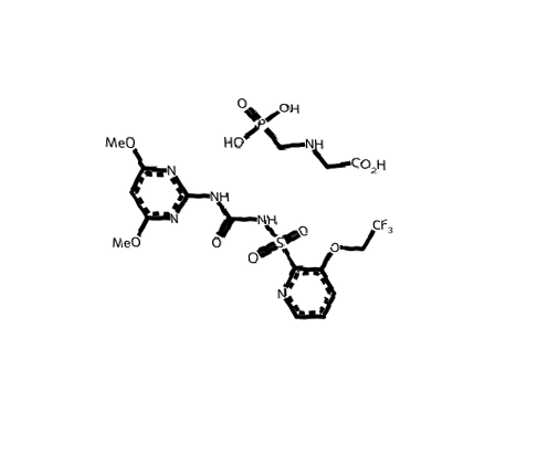 COc1cc(OC)nc(NC(=O)NS(=O)(=O)c2ncccc2OCC(F)(F)F)n1.O=C(O)CNCP(=O)(O)O